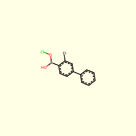 CCc1cc(-c2ccccc2)ccc1B(O)OCl